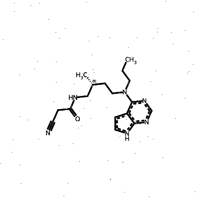 CCCN(CC[C@@H](C)CNC(=O)CC#N)c1ncnc2[nH]ccc12